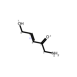 N[CH]C(=O)/C=C/CO